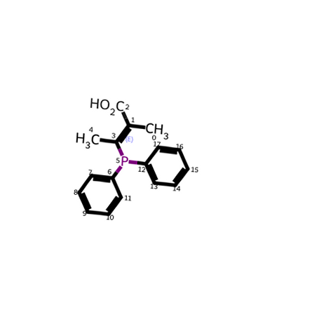 C/C(C(=O)O)=C(/C)P(c1ccccc1)c1ccccc1